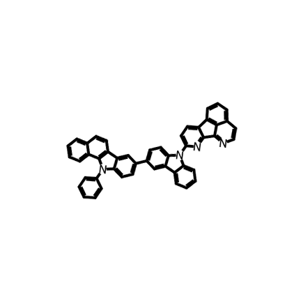 c1ccc(-n2c3ccc(-c4ccc5c(c4)c4ccccc4n5-c4ccc5c(n4)-c4nccc6cccc-5c46)cc3c3ccc4ccccc4c32)cc1